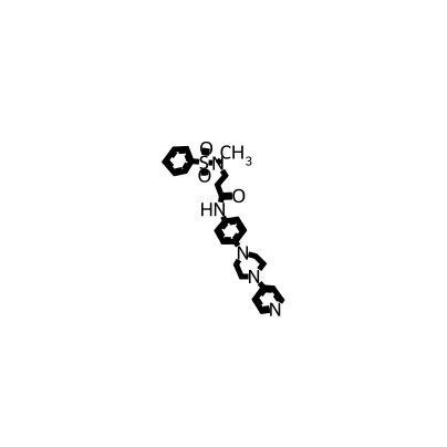 CN(CCC(=O)Nc1ccc(N2CCN(c3ccncc3)CC2)cc1)S(=O)(=O)c1ccccc1